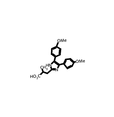 COc1ccc(-c2nc(CC(C)C(=O)O)[nH]c2-c2ccc(OC)cc2)cc1